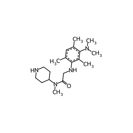 Cc1cc(C)c(N(C)C)c(C)c1NCC(=O)N(C)C1CCNCC1